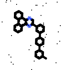 Cc1cccc(-c2ccc(-c3cccc(-c4cnc5c6ccccc6c6ccccc6c5n4)c3)cc2)c1